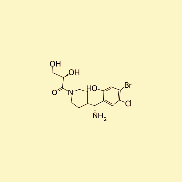 N[C@@H](c1cc(Cl)c(Br)cc1O)C1CCN(C(=O)[C@H](O)CO)CC1